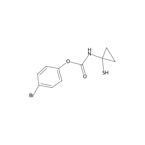 O=C(NC1(S)CC1)Oc1ccc(Br)cc1